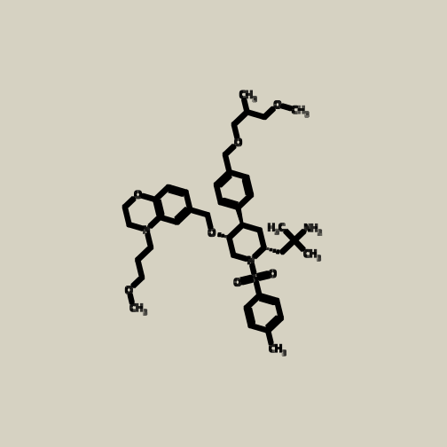 COCCCN1CCOc2ccc(CO[C@H]3CN(S(=O)(=O)c4ccc(C)cc4)[C@@H](CC(C)(C)N)C[C@@H]3c3ccc(COCC(C)COC)cc3)cc21